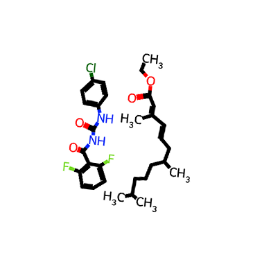 CCOC(=O)/C=C(C)/C=C/CC(C)CCCC(C)C.O=C(NC(=O)c1c(F)cccc1F)Nc1ccc(Cl)cc1